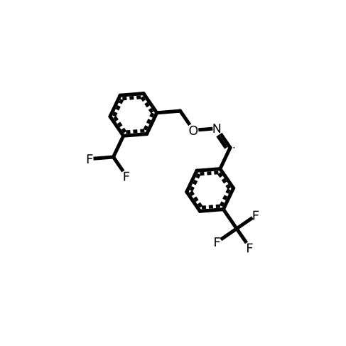 FC(F)c1cccc(CO/N=[C]\c2cccc(C(F)(F)F)c2)c1